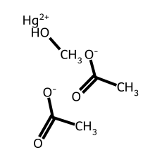 CC(=O)[O-].CC(=O)[O-].CO.[Hg+2]